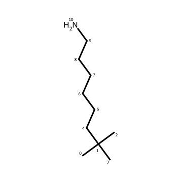 CC(C)(C)CCCCCCN